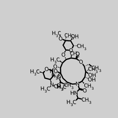 CC[C@H]1OC(=O)[C@H](C)[C@@H](O[C@H]2C[C@@](C)(OC)[C@@H](O)[C@H](C)O2)[C@H](C)[C@@H](O[C@@H]2O[C@H](C)C[C@H](N(C)C)[C@H]2OC(C)=O)[C@](C)(O)C[C@@H](C)CN(C(=O)NC(C)C)[C@H](C)[C@@H](O)[C@]1(C)O